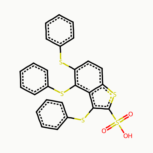 O=S(=O)(O)c1sc2ccc(Sc3ccccc3)c(Sc3ccccc3)c2c1Sc1ccccc1